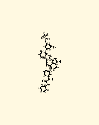 CS(=O)(=O)NCc1cc(F)cc(-c2ccnc3[nH]c(-c4n[nH]c5ccc(-c6cncc(NC(=O)Cc7ccccc7)c6)c(F)c45)nc23)c1